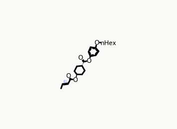 C/C=C/C(=O)O[C@H]1CC[C@H](C(=O)Oc2ccc(OCCCCCC)cc2)CC1